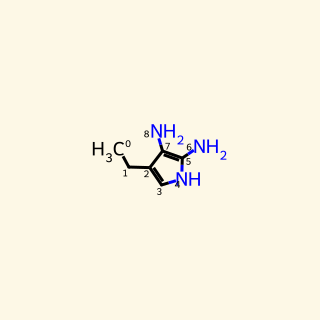 CCc1c[nH]c(N)c1N